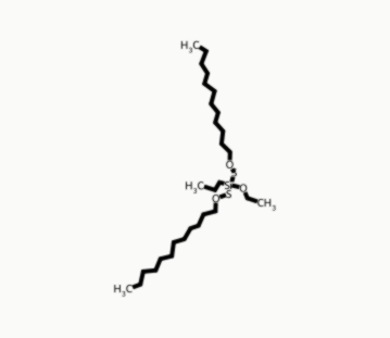 CCCCCCCCCCCCOS[Si](CCC)(OCC)SOCCCCCCCCCCCC